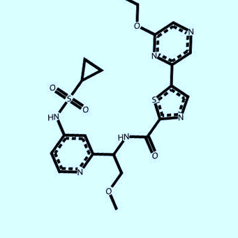 CCOc1cncc(-c2cnc(C(=O)NC(COC)c3cc(NS(=O)(=O)C4CC4)ccn3)s2)n1